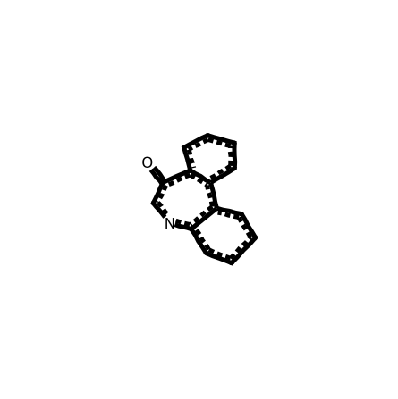 O=c1cnc2ccccc2c2ccccc12